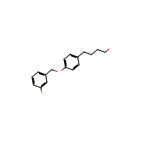 OCCCCc1ccc(OCc2cccc(F)c2)cc1